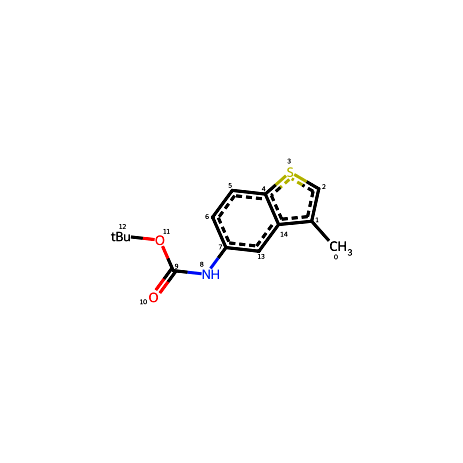 Cc1csc2ccc(NC(=O)OC(C)(C)C)cc12